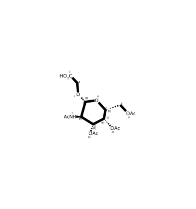 CC(=O)N[C@H]1[C@H](OCC(=O)O)O[C@H](COC(C)=O)[C@H](OC(C)=O)[C@@H]1OC(C)=O